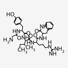 CCC(C)C(NC(=O)C(Cc1ccc(O)cc1)NC(=O)CN)C(=O)NC(CCCNC(=N)N)C(=O)NC(Cc1ccccc1)C(N)=O